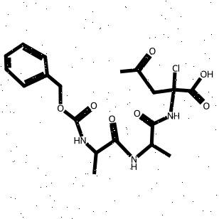 CC(=O)CC(Cl)(NC(=O)C(C)NC(=O)C(C)NC(=O)OCc1ccccc1)C(=O)O